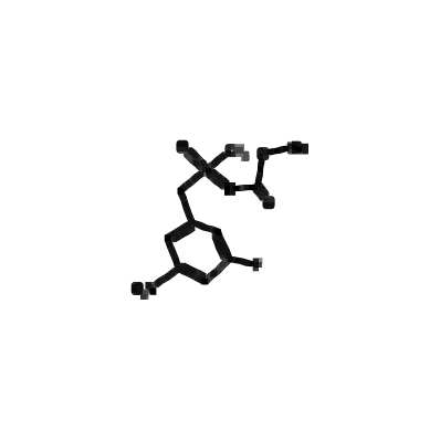 CC(C)(C)OC(=O)N=S(C)(=O)Cc1cc(F)cc([N+](=O)[O-])c1